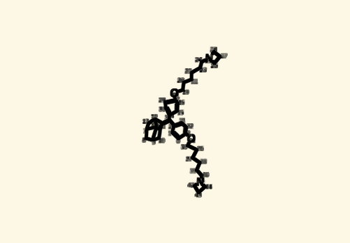 c1cc(C(=C2C3CC4CC(C3)CC2C4)c2ccc(OCCCCCCN3CCC3)cc2)ccc1OCCCCCCN1CCC1